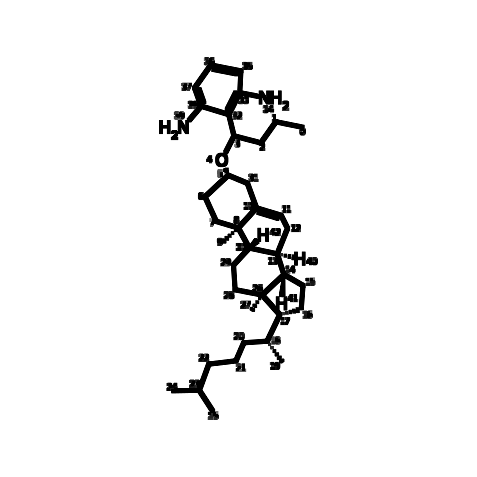 CCCC(O[C@H]1CC[C@@]2(C)C(=CC[C@H]3[C@@H]4CC[C@H]([C@H](C)CCCC(C)C)[C@@]4(C)CC[C@@H]32)C1)c1c(N)cccc1N